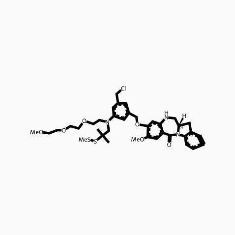 COCCOCCOCCN(CC(C)(C)SSC)c1cc(CCl)cc(COc2cc3c(cc2OC)C(=O)N2c4ccc#cc4C[C@H]2CN3)c1